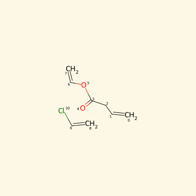 C=CCC(=O)OC=C.C=CCl